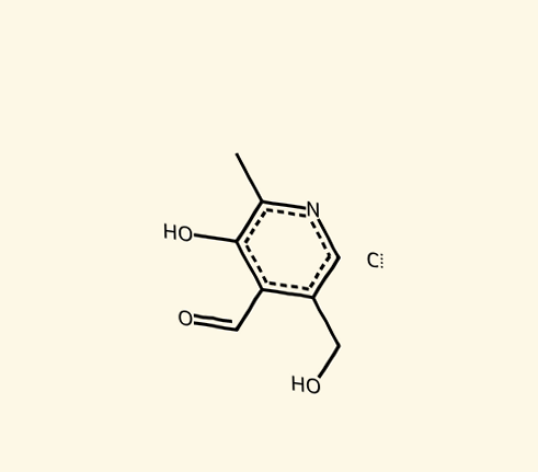 Cc1ncc(CO)c(C=O)c1O.[C]